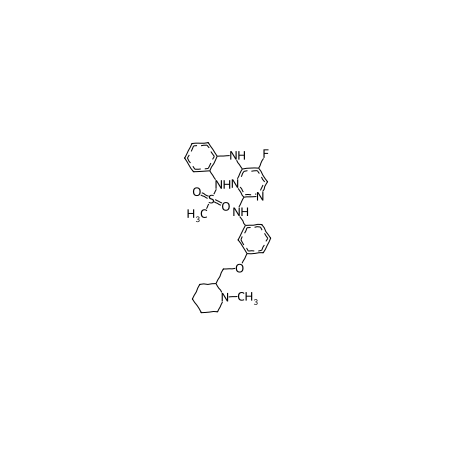 CN1CCCCC1COc1cccc(Nc2ncc(F)c(Nc3ccccc3NS(C)(=O)=O)n2)c1